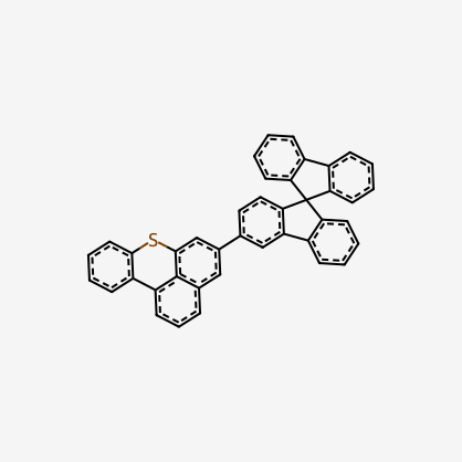 c1ccc2c(c1)Sc1cc(-c3ccc4c(c3)-c3ccccc3C43c4ccccc4-c4ccccc43)cc3cccc-2c13